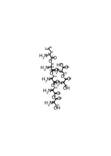 CC(C)C[C@H](N)C(=O)OC[C@H](N)C(=O)OC[C@H](N)C(=O)OC[C@H](N)C(=O)OC(=O)[C@@H](N)CO.N[C@@H](COC(=O)[C@@H](N)CO)C(=O)O